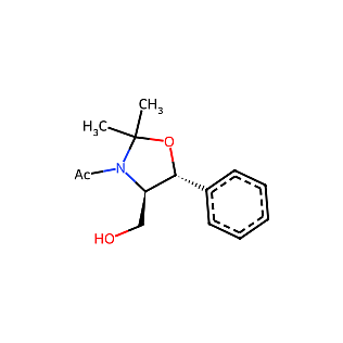 CC(=O)N1[C@H](CO)[C@@H](c2ccccc2)OC1(C)C